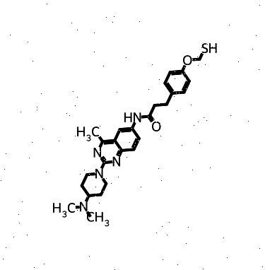 Cc1nc(N2CCC(N(C)C)CC2)nc2ccc(NC(=O)CCc3ccc(OCS)cc3)cc12